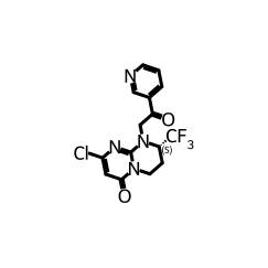 O=C(CN1c2nc(Cl)cc(=O)n2CC[C@H]1C(F)(F)F)c1cccnc1